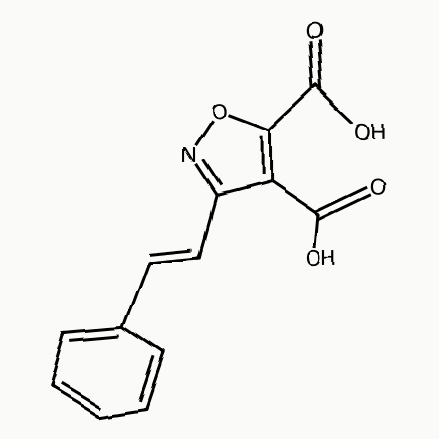 O=C(O)c1onc(/C=C/c2ccccc2)c1C(=O)O